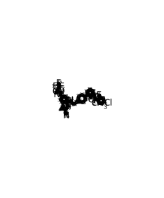 C[C@]1(c2ccc(Cl)cc2F)Oc2cccc(C3CCC4C(CC3)C4Cc3nc4cc(-c5noc(C(F)(F)F)n5)ccc4n3CC3(C#N)CC3)c2O1